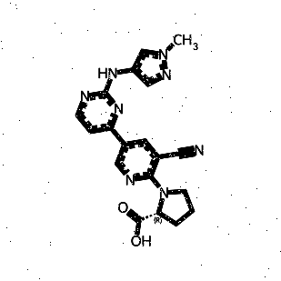 Cn1cc(Nc2nccc(-c3cnc(N4CCC[C@@H]4C(=O)O)c(C#N)c3)n2)cn1